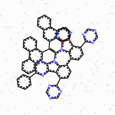 c1ccc(-c2cnc3c(n2)c2c(-c4ncncn4)ccc4c5ccc(-c6ncncn6)c6c7nccnc7n(c(=C(c7cc8ccccc8c8ccccc78)c7cc8ccccc8c8ccccc78)n3c42)c56)cc1